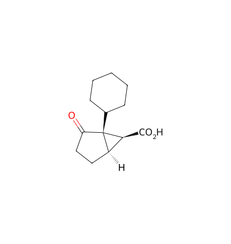 O=C(O)[C@H]1[C@H]2CCC(=O)[C@@]21C1CCCCC1